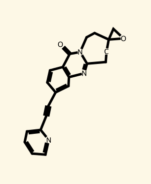 O=c1c2ccc(C#Cc3ccccn3)cc2nc2n1CCC1(CC2)CO1